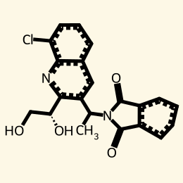 CC(c1cc2cccc(Cl)c2nc1[C@H](O)CO)N1C(=O)c2ccccc2C1=O